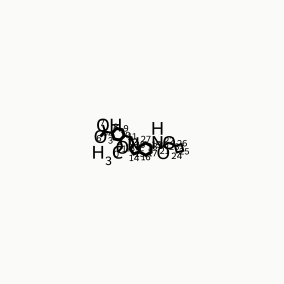 COc1cc(C(=O)O)ccc1Cn1ccc2ccc(NC(=O)OC3CCC3)cc21